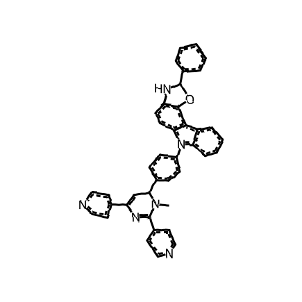 CN1C(c2ccncc2)=NC(c2ccncc2)=CC1c1ccc(-n2c3ccccc3c3c4c(ccc32)NC(c2ccccc2)O4)cc1